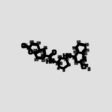 O=C(N[C@@H]1CCC[C@H](Nc2cc(C(F)(F)F)nc3ccccc23)C1)c1ccc2oc(=O)ccc2c1